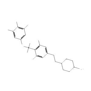 CCCCC1CCC(CCc2cc(F)c(C(F)(F)Oc3cc(F)c(C(F)(F)F)c(F)c3)c(F)c2)CC1